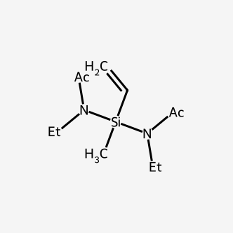 C=C[Si](C)(N(CC)C(C)=O)N(CC)C(C)=O